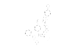 COCOc1ccccc1-c1cc(C(=O)NC2CC2)c(C(=O)NCc2ccc(OC)cc2)c(F)c1C